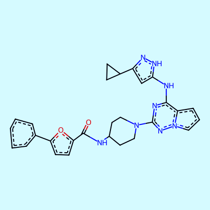 O=C(NC1CCN(c2nc(Nc3cc(C4CC4)n[nH]3)c3cccn3n2)CC1)c1ccc(-c2ccccc2)o1